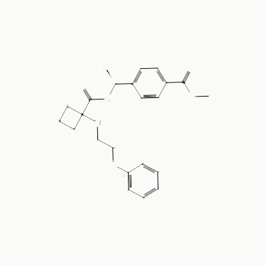 COC(=O)c1ccc([C@H](C)NC(=O)C2(NCCOc3ccccc3)CCC2)cc1